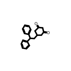 O=C1CC(=O)CC(CC(c2ccccc2)c2ccccc2)C1